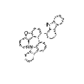 c1ccc2c(c1)[nH]c1c(-c3ccc4oc5ccccc5c4c3-c3cccc4c3[nH]c3ccccc34)cccc12